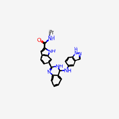 CC(C)NC(=O)c1cc2ccc(C3=Nc4ccccc4C(Nc4ccc5[nH]ncc5c4)N3)cc2[nH]1